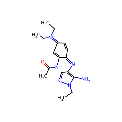 CCn1ncc(/N=C2/C=CC(=[N+](CC)CC)C=C2NC(C)=O)c1N